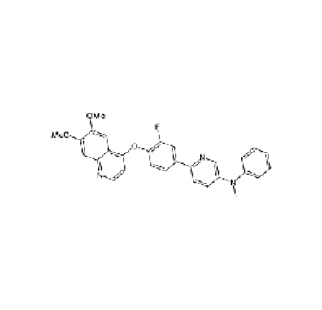 COc1cc2nccc(Oc3ccc(-c4ccc(N(C)c5ccccc5)cn4)cc3F)c2cc1OC